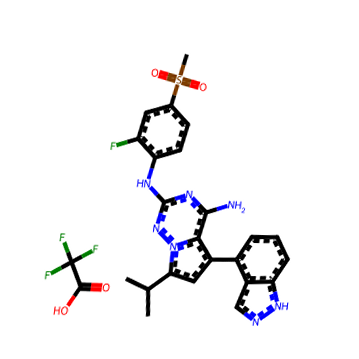 CC(C)c1cc(-c2cccc3[nH]ncc23)c2c(N)nc(Nc3ccc(S(C)(=O)=O)cc3F)nn12.O=C(O)C(F)(F)F